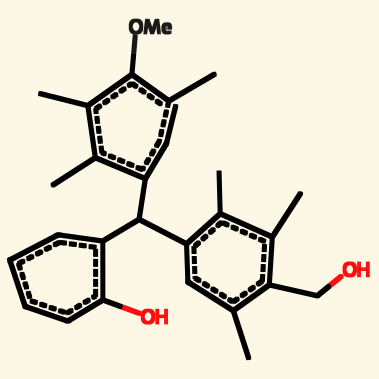 COc1c(C)cc(C(c2ccccc2O)c2cc(C)c(CO)c(C)c2C)c(C)c1C